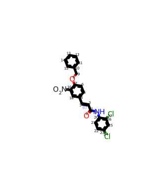 O=C(/C=C/c1ccc(OCc2ccccc2)c([N+](=O)[O-])c1)Nc1ccc(Cl)cc1Cl